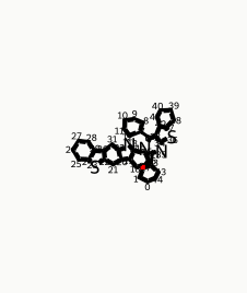 c1ccc(-c2nc(-c3ccccc3-n3c4ccccc4c4cc5sc6ccccc6c5cc43)c3c(n2)sc2ccccc23)cc1